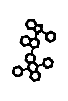 c1ccc(-c2c3ccccc3c(-c3ccccc3)c3cc(-c4ccc(-n5c(-c6ccccc6)nc6ccccc65)c5ccccc45)ccc23)cc1